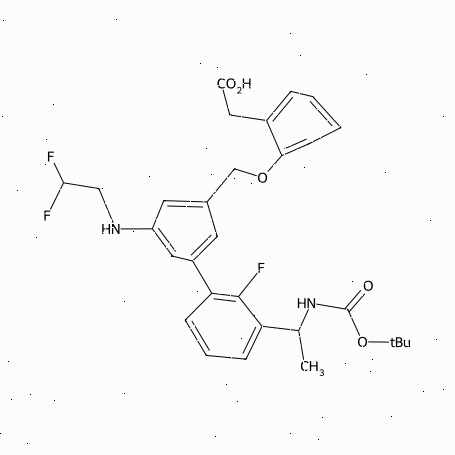 CC(NC(=O)OC(C)(C)C)c1cccc(-c2cc(COc3ccccc3CC(=O)O)cc(NCC(F)F)c2)c1F